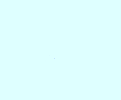 CC(CF)OCCN(C)S(C)(=O)=O